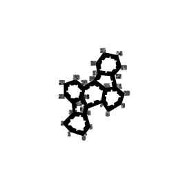 [c]1ccc2c(c1)c1c3cccc4c5ccccc5c(c5cccc2c51)c43